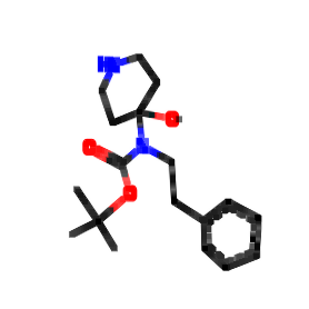 CC(C)(C)OC(=O)N(CCc1ccccc1)C1([O])CCNCC1